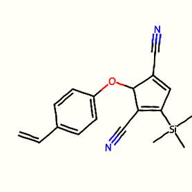 C=Cc1ccc(OC2C(C#N)=CC([Si](C)(C)C)=C2C#N)cc1